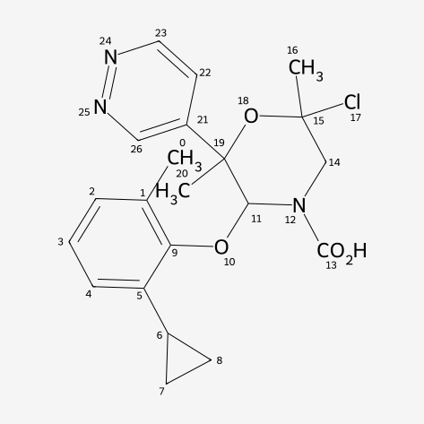 Cc1cccc(C2CC2)c1OC1N(C(=O)O)CC(C)(Cl)OC1(C)c1ccnnc1